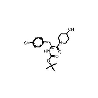 CC(C)(C)OC(=O)N[C@@H](Cc1ccc(Cl)cc1)C(=O)N1CCC(O)CC1